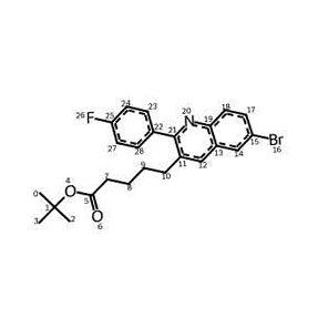 CC(C)(C)OC(=O)CCCCc1cc2cc(Br)ccc2nc1-c1ccc(F)cc1